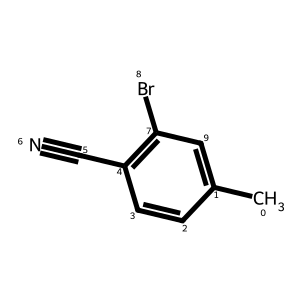 Cc1ccc(C#N)c(Br)c1